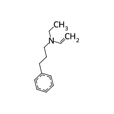 C=CN(CC)CCCc1ccccc1